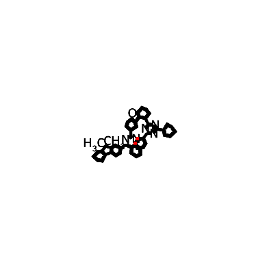 CC1(C)c2ccccc2-c2ccc(-c3nc(-c4ccc5oc6cccc(-c7nc(-c8ccccc8)nc(-c8ccccc8)n7)c6c5c4)nc4ccccc34)cc21